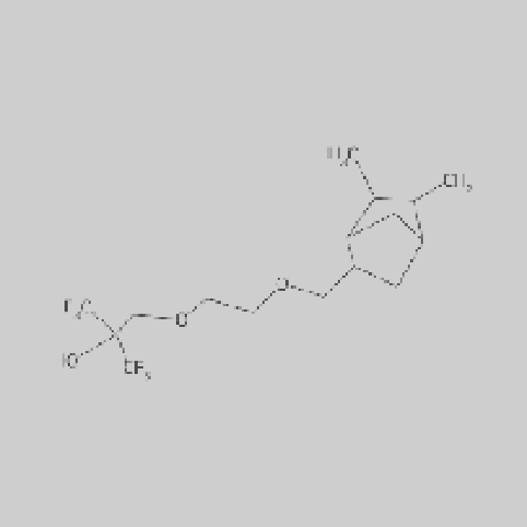 CC1C2CC(COCCOCC(O)(C(F)(F)F)C(F)(F)F)C(C2)C1C